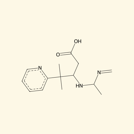 C=NC(C)NC(CC(=O)O)C(C)(C)c1ccccn1